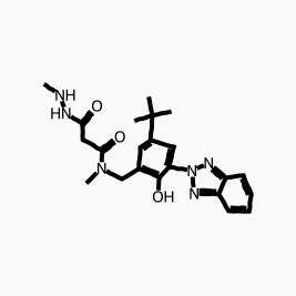 CNNC(=O)CC(=O)N(C)Cc1cc(C(C)(C)C)cc(-n2nc3ccccc3n2)c1O